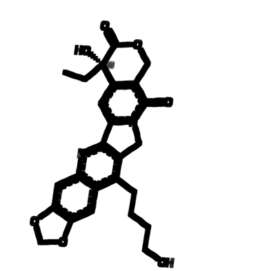 CC[C@@]1(O)C(=O)OCc2c1cc1n(c2=O)Cc2c-1nc1cc3c(cc1c2CCCCO)OCO3